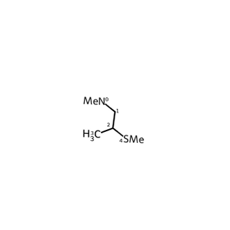 CNCC(C)SC